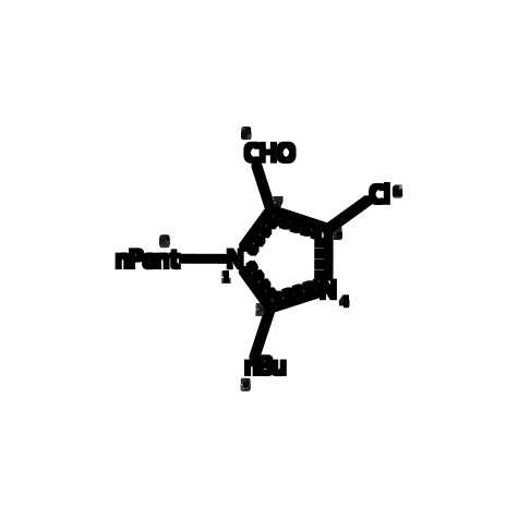 CCCCCn1c(CCCC)nc(Cl)c1C=O